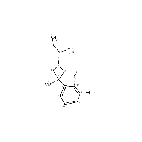 CCC(C)N1CC(O)(c2cccc(F)c2F)C1